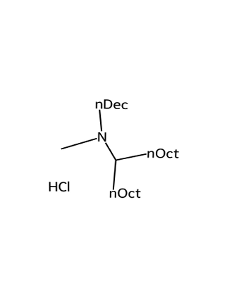 CCCCCCCCCCN(C)C(CCCCCCCC)CCCCCCCC.Cl